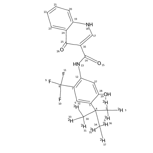 [2H]C([2H])([2H])C(c1cc(C(F)(F)F)c(NC(=O)c2c[nH]c3ccccc3c2=O)cc1O)(C([2H])([2H])[2H])C([2H])([2H])[2H]